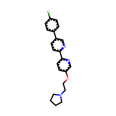 Clc1ccc(-c2ccc(-c3ccc(OCCN4CCCC4)cn3)nc2)cc1